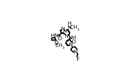 CNc1cc(Nc2cccn(C3CCN(CCF)CC3)c2=O)nc2c(C(=O)NC3CC[C@H]3OC)cnn12